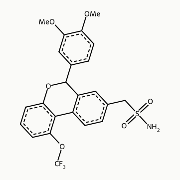 COc1ccc(C2Oc3cccc(OC(F)(F)F)c3-c3ccc(CS(N)(=O)=O)cc32)cc1OC